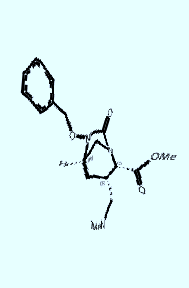 CNC[C@@H]1C[C@@H]2CN(C(=O)N2OCc2ccccc2)[C@@H]1C(=O)OC